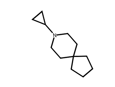 C1CCC2(C1)CCN(C1CC1)CC2